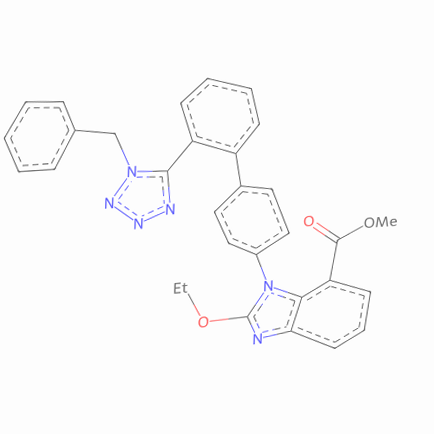 CCOc1nc2cccc(C(=O)OC)c2n1-c1ccc(-c2ccccc2-c2nnnn2Cc2ccccc2)cc1